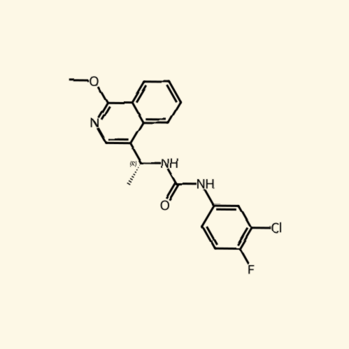 COc1ncc([C@@H](C)NC(=O)Nc2ccc(F)c(Cl)c2)c2ccccc12